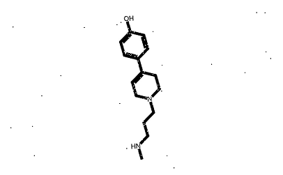 CNCCCN1CC=C(c2ccc(O)cc2)CC1